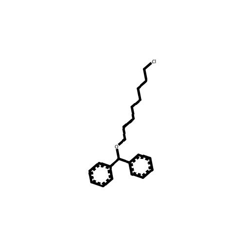 ClCCCCCCCCOC(c1ccccc1)c1ccccc1